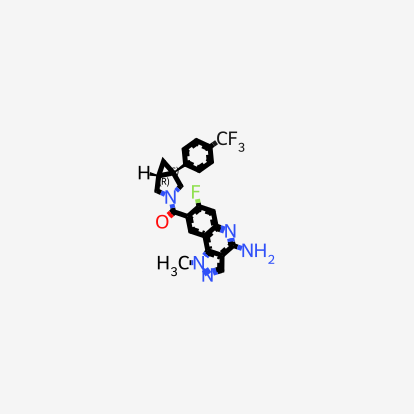 Cn1ncc2c(N)nc3cc(F)c(C(=O)N4C[C@@H]5C[C@]5(c5ccc(C(F)(F)F)cc5)C4)cc3c21